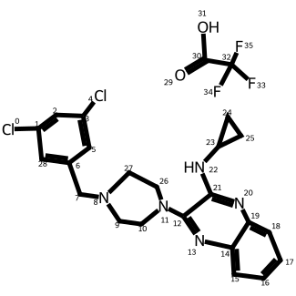 Clc1cc(Cl)cc(CN2CCN(c3nc4ccccc4nc3NC3CC3)CC2)c1.O=C(O)C(F)(F)F